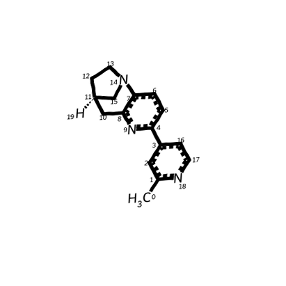 Cc1cc(-c2ccc3c(n2)C[C@H]2CCN3C2)ccn1